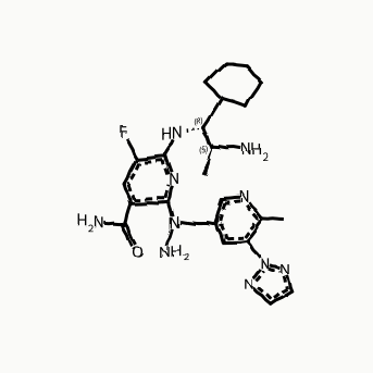 Cc1ncc(N(N)c2nc(N[C@H](C3CCCCC3)[C@H](C)N)c(F)cc2C(N)=O)cc1-n1nccn1